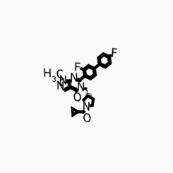 Cn1ncc2c(=O)n(C[C@@H]3CCN(C(=O)C4CC4)C3)c(-c3ccc(-c4ccc(F)cc4)cc3F)nc21